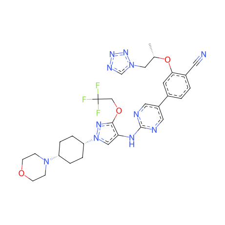 C[C@@H](Cn1cnnn1)Oc1cc(-c2cnc(Nc3cn([C@H]4CC[C@@H](N5CCOCC5)CC4)nc3OCC(F)(F)F)nc2)ccc1C#N